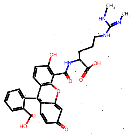 C/N=C(\NC)NCCC[C@H](NC(=O)c1c(O)ccc2c(-c3ccccc3C(=O)O)c3ccc(=O)cc-3oc12)C(=O)O